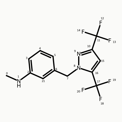 CNc1cccc(Cn2nc(C(F)(F)F)cc2C(F)(F)F)c1